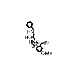 COc1ccc(S(=O)(=O)NC[C@H](O)CNCc2ccccc2)c(CC(C)C)c1